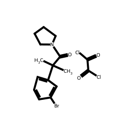 CC(C)(C(=O)N1CCCC1)c1cccc(Br)c1.O=C(Cl)C(=O)Cl